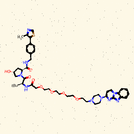 Cc1ncsc1-c1ccc(CNC(=O)[C@@H]2C[C@@H](O)CN2C(=O)[C@@H](NC(=O)COCCOCCOCCOCCN2CCN(c3ccn4c(n3)nc3ccccc34)CC2)C(C)(C)C)cc1